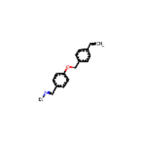 C=Cc1ccc(COc2ccc(/C=N/CC)cc2)cc1